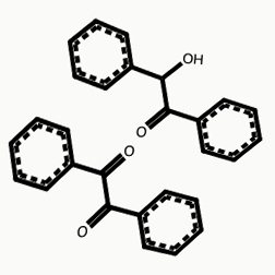 O=C(C(=O)c1ccccc1)c1ccccc1.O=C(c1ccccc1)C(O)c1ccccc1